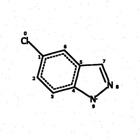 Clc1ccc2c(c1)C=N[N]2